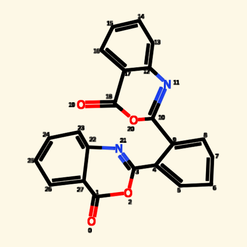 O=c1oc(-c2ccccc2-c2nc3ccccc3c(=O)o2)nc2ccccc12